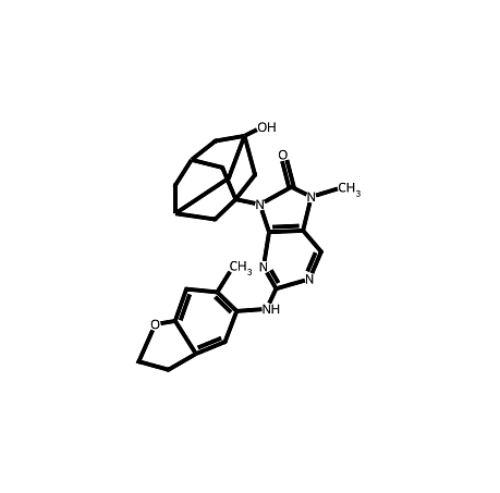 Cc1cc2c(cc1Nc1ncc3c(n1)n(C14CC5CC(CC(O)(C5)C1)C4)c(=O)n3C)CCO2